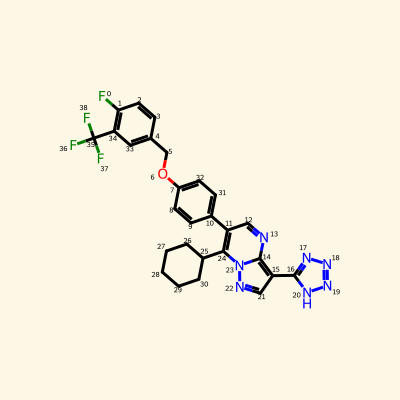 Fc1ccc(COc2ccc(-c3cnc4c(-c5nnn[nH]5)cnn4c3C3CCCCC3)cc2)cc1C(F)(F)F